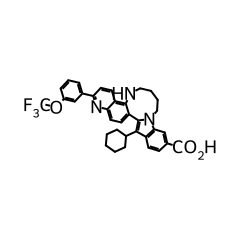 O=C(O)c1ccc2c(C3CCCCC3)c3n(c2c1)CCCCNc1c-3ccc2nc(-c3cccc(OC(F)(F)F)c3)ccc12